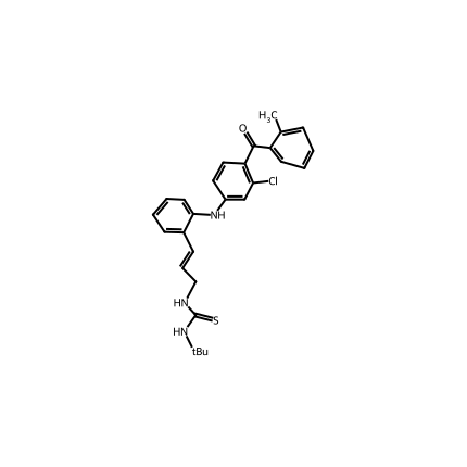 Cc1ccccc1C(=O)c1ccc(Nc2ccccc2/C=C/CNC(=S)NC(C)(C)C)cc1Cl